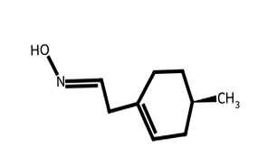 C[C@H]1CC=C(CC=NO)CC1